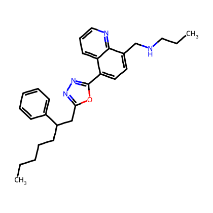 CCCCCC(Cc1nnc(-c2ccc(CNCCC)c3ncccc23)o1)c1ccccc1